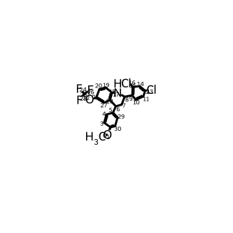 COc1ccc(C2CC(c3ccc(Cl)cc3Cl)Nc3ccc(OC(F)(F)F)cc32)cc1